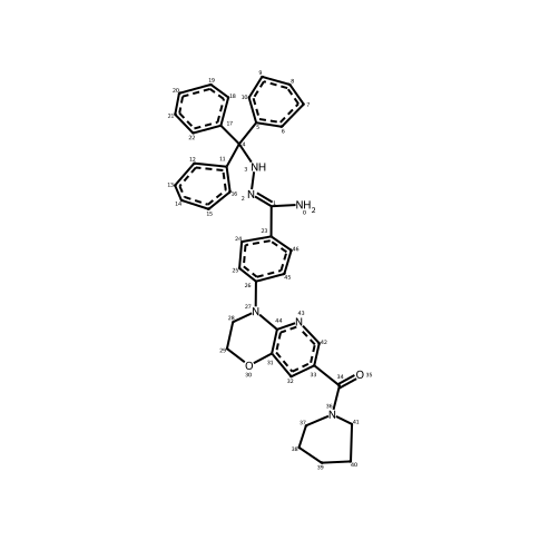 N/C(=N\NC(c1ccccc1)(c1ccccc1)c1ccccc1)c1ccc(N2CCOc3cc(C(=O)N4CCCCC4)cnc32)cc1